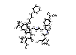 CCc1nc(C)oc1C(=O)/N=c1/sc2cc(C(=O)O)cnc2n1C/C=C/Cn1c(NC(=O)c2oc(C)nc2CC)nc2cc(C(N)=O)cc(OCCCN3CCOCC3)c21